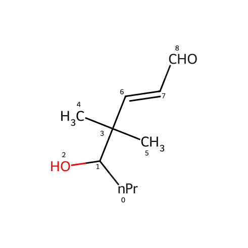 CCCC(O)C(C)(C)C=CC=O